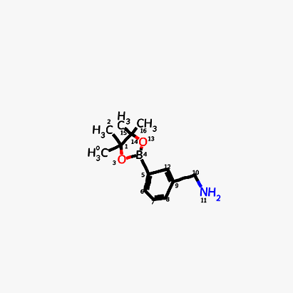 CC1(C)OB(c2cccc(CN)c2)OC1(C)C